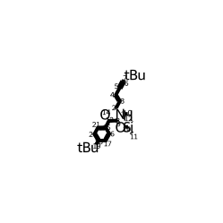 CN(CC=CC#CC(C)(C)C)C(O[SiH](C)C)C(=O)c1ccc(C(C)(C)C)cc1